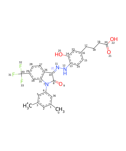 Cc1cc(C)cc(N2C(=O)/C(=N\Nc3ccc(CCCC(=O)O)cc3O)c3ccc(C(F)(F)F)cc32)c1